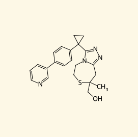 CC1(CO)Cc2nnc(C3(c4ccc(-c5cccnc5)cc4)CC3)n2CCS1